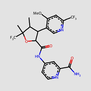 COc1cc(C(F)(F)F)ncc1C1C(C(=O)Nc2ccnc(C(N)=O)c2)OC(C)(C(F)(F)F)C1C